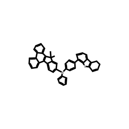 CC1(C)c2cc(N(c3ccccc3)c3ccc(-c4cccc5c6c(sc45)C=CCC6)cc3)ccc2-c2c1c1ccccc1c1ccccc21